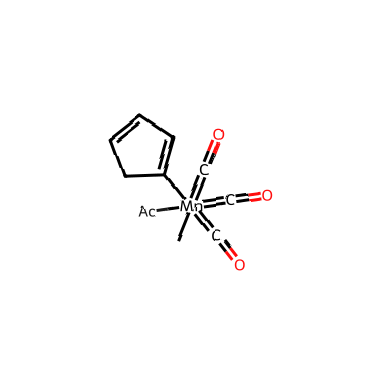 C[C](=O)[Mn]([CH3])(=[C]=O)(=[C]=O)(=[C]=O)[C]1=CC=CC1